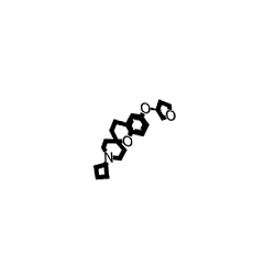 c1cc2c(cc1O[C@H]1CCOC1)CCC1(CCN(C3CCC3)CC1)O2